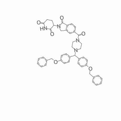 O=C1CCC(N2Cc3cc(C(=O)N4CCN(C(c5ccc(OCc6ccccc6)cc5)c5ccc(OCc6ccccc6)cc5)CC4)ccc3C2=O)C(=O)N1